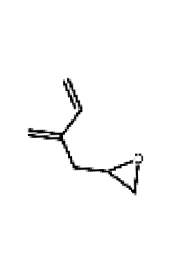 C=CC(=C)CC1CO1